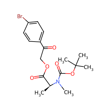 C[C@@H](C(=O)OCC(=O)c1ccc(Br)cc1)N(C)C(=O)OC(C)(C)C